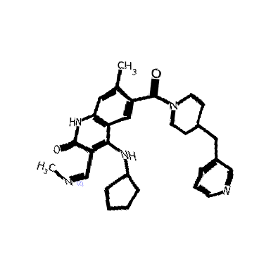 C/N=C\c1c(NC2CCCC2)c2cc(C(=O)N3CCC(Cc4cccnc4)CC3)c(C)cc2[nH]c1=O